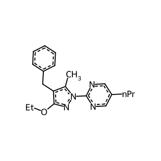 CCCc1cnc(-n2nc(OCC)c(Cc3ccccc3)c2C)nc1